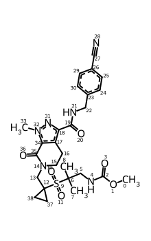 COC(=O)NCC(C)(C)S(=O)(=O)C1(CN2CCc3c(C(=O)NCc4ccc(C#N)cc4)nn(C)c3C2=O)CC1